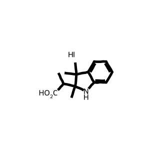 CC(C(=O)O)C1(C)Nc2ccccc2C1(C)C.I